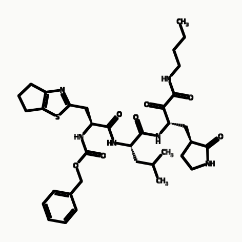 CCCCNC(=O)C(=O)[C@H](C[C@@H]1CCNC1=O)NC(=O)[C@H](CC(C)C)NC(=O)[C@H](Cc1nc2c(s1)CCC2)NC(=O)OCc1ccccc1